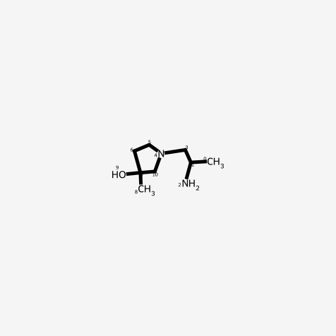 CC(N)CN1CCC(C)(O)C1